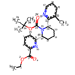 CCOC(=O)c1cccc([C@H]2CCC[C@@H](c3ncccc3C)N2C(=O)OC(C)(C)C)n1